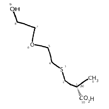 C[C@@H](CSCCOCCO)C(=O)O